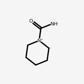 [NH]C(=O)[N+]1[CH]CCCC1